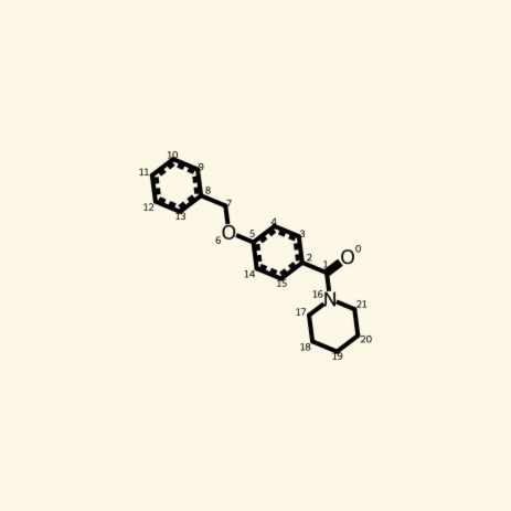 O=C(c1ccc(OCc2ccccc2)cc1)N1CCCCC1